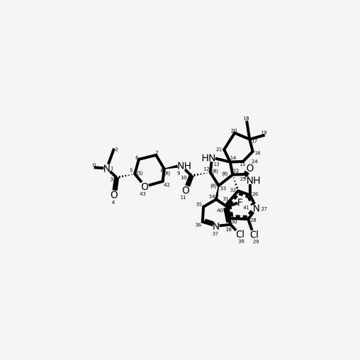 CN(C)C(=O)[C@@H]1CC[C@@H](NC(=O)[C@@H]2NC3(CCC(C)(C)CC3)[C@@]3(C(=O)Nc4nc(Cl)ccc43)[C@H]2C2CC=NC(Cl)=C2F)CO1